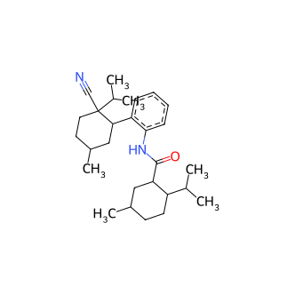 CC1CCC(C(C)C)C(C(=O)Nc2ccccc2C2CC(C)CCC2(C#N)C(C)C)C1